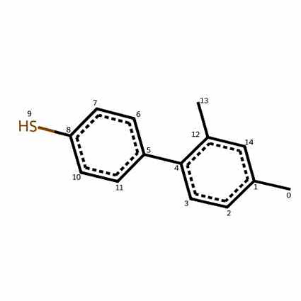 Cc1ccc(-c2ccc(S)cc2)c(C)c1